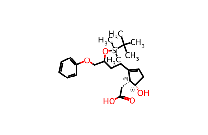 CC(C)(C)[Si](C)(C)OC(CCC1=CC[C@H](O)[C@@H]1CC(=O)O)COc1ccccc1